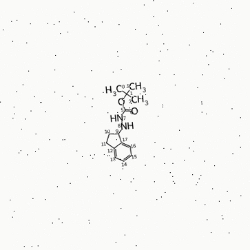 CC(C)(C)OC(=O)NNC1CCc2ccccc21